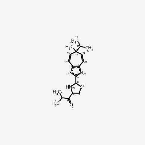 CC(C)C(=O)C1CSC(c2nc3c(s2)C=CC(C)(C(C)C)C=C3)N1